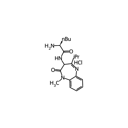 CCCC[C@H](N)C(=O)NC1C(=O)N(C)c2ccccc2N=C1C(C)C.Cl